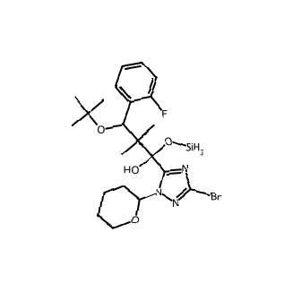 CC(C)(C)OC(c1ccccc1F)C(C)(C)C(O)(O[SiH3])c1nc(Br)nn1C1CCCCO1